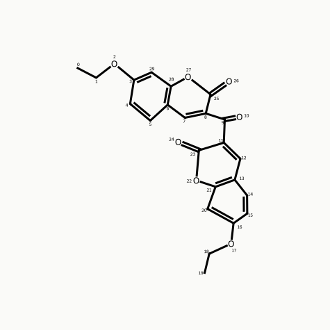 CCOc1ccc2cc(C(=O)c3cc4ccc(OCC)cc4oc3=O)c(=O)oc2c1